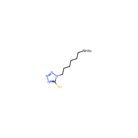 CC(=O)NCCCCCCn1nnnc1S